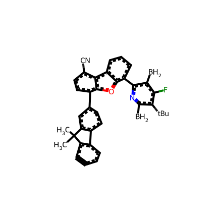 Bc1nc(-c2cccc3c2oc2c(-c4ccc5c(c4)C(C)(C)c4c#cccc4-5)ccc(C#N)c23)c(B)c(F)c1C(C)(C)C